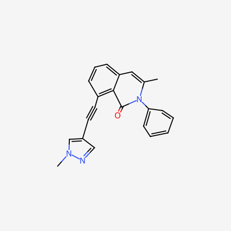 Cc1cc2cccc(C#Cc3cnn(C)c3)c2c(=O)n1-c1ccccc1